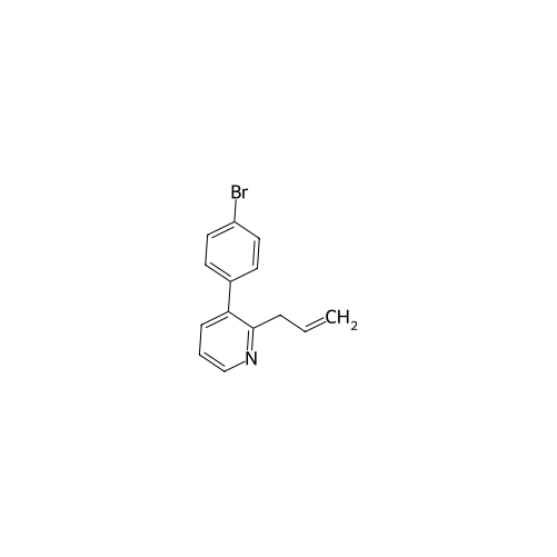 C=CCc1ncccc1-c1ccc(Br)cc1